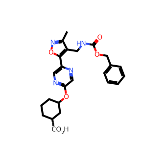 Cc1noc(-c2cnc(OC3CCCC(C(=O)O)C3)cn2)c1CNC(=O)OCc1ccccc1